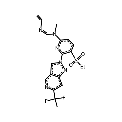 C=C/N=C\N(C)c1ccc(S(=O)(=O)CC)c(-n2cc3cnc(C(C)(F)F)cc3n2)n1